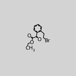 CCOC(=O)C(=O)c1ccccc1CCBr